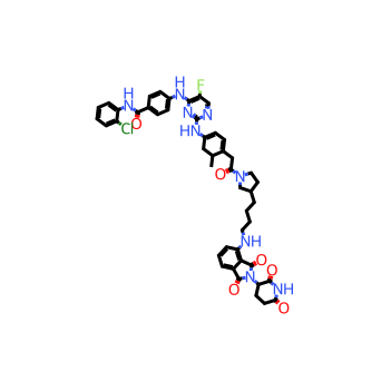 CC1CC(Nc2ncc(F)c(Nc3ccc(C(=O)Nc4ccccc4Cl)cc3)n2)=CC=C1CC(=O)N1CCC(CCCCNc2cccc3c2C(=O)N(C2CCC(=O)NC2=O)C3=O)C1